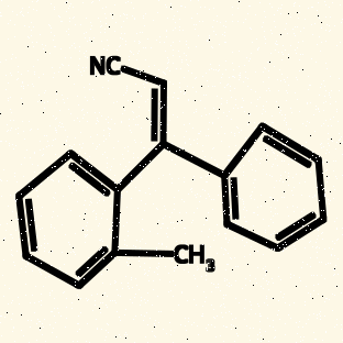 Cc1ccccc1/C(=C\C#N)c1ccccc1